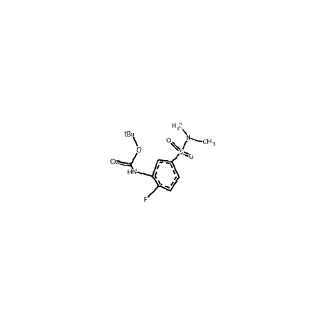 CN(C)S(=O)(=O)c1ccc(F)c(NC(=O)OC(C)(C)C)c1